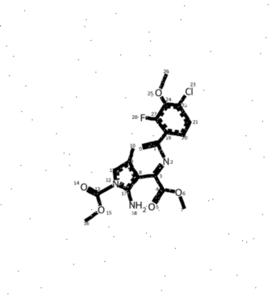 C=C(/N=C(/C(=O)OC)c1c(C)cn(C(=O)OC)c1N)c1ccc(Cl)c(OC)c1F